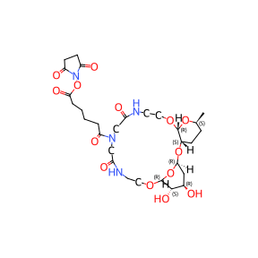 C[C@H]1CC[C@@H]2O[C@H]3C[C@@H](O)[C@H](O)[C@H](OCCNC(=O)CN(C(=O)CCCCC(=O)ON4C(=O)CCC4=O)CC(=O)NCCO[C@@H]2O1)O3